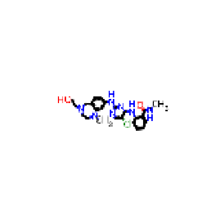 CNC(=O)c1ccccc1Nc1nc(Nc2ccc3c(c2)N(C)CCN(CCO)C3)ncc1Cl